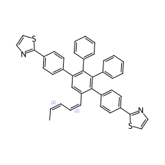 C/C=C\C=C/c1cc(-c2ccc(-c3nccs3)cc2)c(-c2ccccc2)c(-c2ccccc2)c1-c1ccc(-c2nccs2)cc1